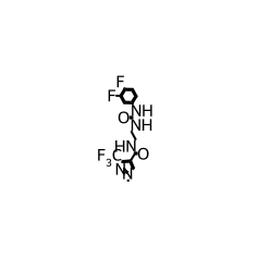 Cn1cc(C(=O)NCCNC(=O)Nc2ccc(F)c(F)c2)c(C(F)(F)F)n1